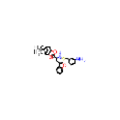 CC1(C)C2CC3OB(C(Cc4coc5ccccc45)NSCc4cccc(N)c4)OC3C1C2